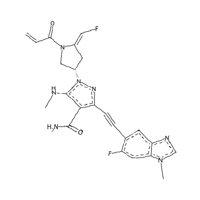 C=CC(=O)N1C[C@@H](n2nc(C#Cc3cc4ncn(C)c4cc3F)c(C(N)=O)c2NC)C/C1=C\F